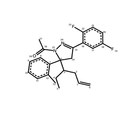 C=CCC(CC)C1(c2ccccc2C)CC(c2cc(F)ccc2F)=NN1C(C)=O